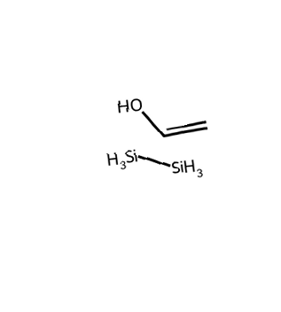 C=CO.[SiH3][SiH3]